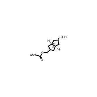 CNC(=O)OCC1C[C@@H]2CN(C(=O)O)C[C@@H]2C1